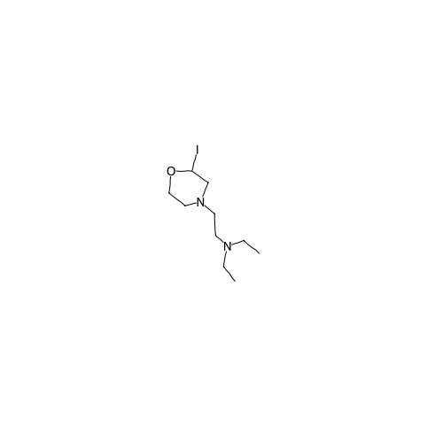 CCN(CC)CCN1CCOC(I)C1